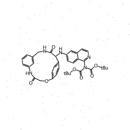 CC(C)(C)OC(=O)N(C(=O)OC(C)(C)C)c1nccc2cc(NC3C(=O)NCc4cccc(c4)NC(=O)COc4ccc3cc4)ccc12